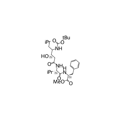 COC(=O)[C@H](Cc1ccccc1)NC(=O)[C@@H](NC(=O)C[C@H](O)C(CC(C)C)NC(=O)OC(C)(C)C)C(C)C